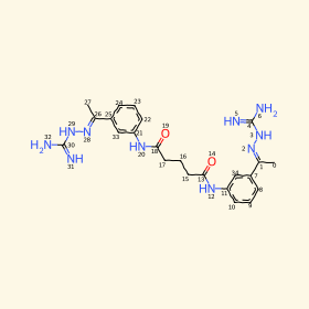 CC(=NNC(=N)N)c1cccc(NC(=O)CCCC(=O)Nc2cccc(C(C)=NNC(=N)N)c2)c1